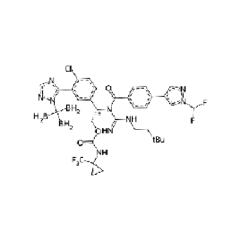 BC(B)(B)n1ncnc1-c1cc([C@@H](COC(=O)NC2(C(F)(F)F)CC2)N(C(=N)NCCC(C)(C)C)C(=O)c2ccc(-c3cnn(C(F)F)c3)cc2)ccc1Cl